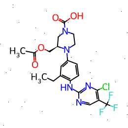 CCc1cc(N2CCN(C(=O)O)C[C@@H]2COC(C)=O)ccc1Nc1ncc(C(F)(F)F)c(Cl)n1